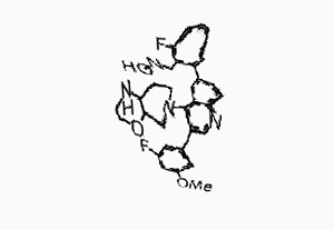 COc1cc(F)cc(-c2cnc3ccc(-c4cccc(F)c4C=NO)cc3c2N2CCC3NCCOC3C2)c1